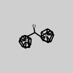 CCC([C]12[CH]3[CH]4[CH]5[CH]1[Fe]45321678[CH]2[CH]1[CH]6[CH]7[CH]28)[C]12[CH]3[CH]4[CH]5[CH]1[Fe]45321678[CH]2[CH]1[CH]6[CH]7[CH]28